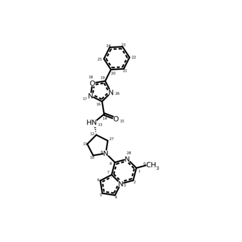 Cc1cn2cccc2c(N2CC[C@H](NC(=O)c3noc(-c4ccccc4)n3)C2)n1